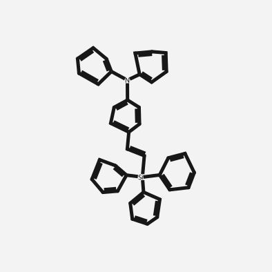 C(=C\[Si](c1ccccc1)(c1ccccc1)c1ccccc1)/c1ccc(N(c2ccccc2)c2ccccc2)cc1